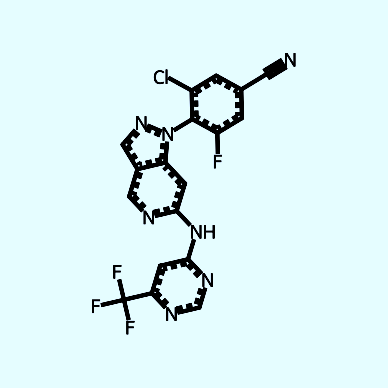 N#Cc1cc(F)c(-n2ncc3cnc(Nc4cc(C(F)(F)F)ncn4)cc32)c(Cl)c1